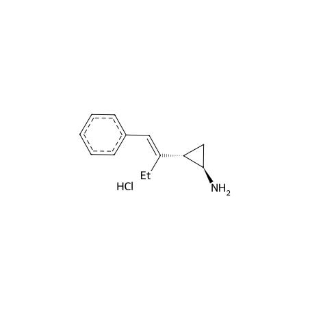 CC/C(=C\c1ccccc1)[C@@H]1C[C@H]1N.Cl